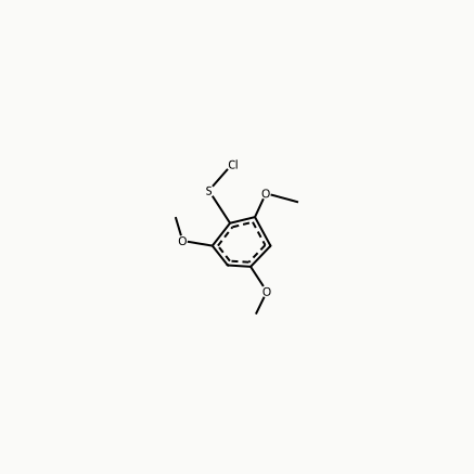 COc1cc(OC)c(SCl)c(OC)c1